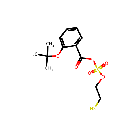 CC(C)(C)Oc1ccccc1C(=O)OS(=O)(=O)OCCS